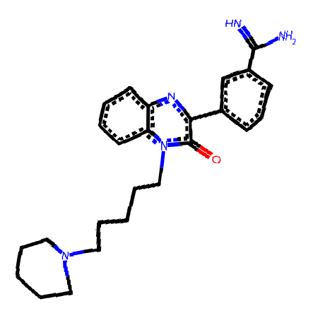 N=C(N)c1cccc(-c2nc3ccccc3n(CCCCCN3CCCCC3)c2=O)c1